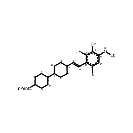 CCCCCC1CCC(C2CCC(/C=C/c3c(C)cc(OCC)c(F)c3F)CC2)CC1